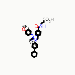 O=C(O)CCNC(=O)c1ccc(CN(/C(=C\[N+](=O)[O-])Nc2ccc(OC(F)(F)F)cc2)c2ccc(C3=CCCCC3)cc2)cc1